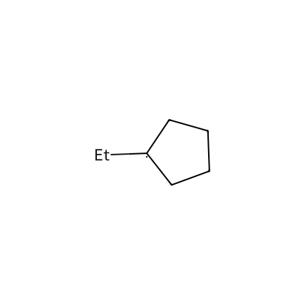 CC[C]1CCCC1